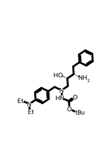 CCN(CC)c1ccc(CN(C[C@H](O)[C@@H](N)Cc2ccccc2)NC(=O)OC(C)(C)C)cc1